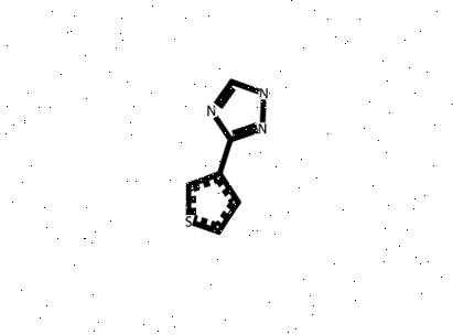 C1=NC(c2ccsc2)=N[N]1